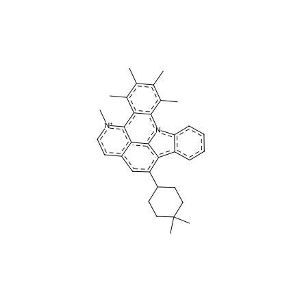 Cc1c(C)c(C)c2c(c1C)c1c3c(cc[n+]1C)cc(C1CCC(C)(C)CC1)c1c4ccccc4n2c13